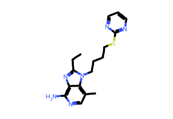 CCc1nc2c(N)ncc(C)c2n1CCCCSc1ncccn1